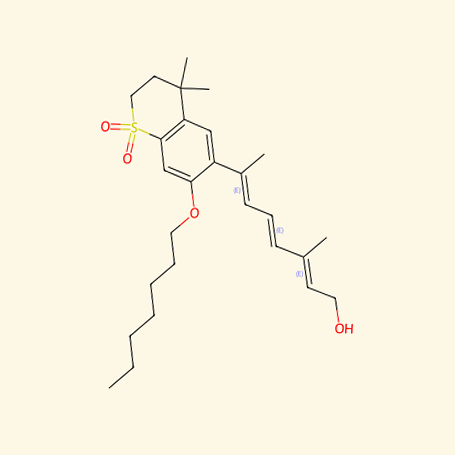 CCCCCCCOc1cc2c(cc1/C(C)=C/C=C/C(C)=C/CO)C(C)(C)CCS2(=O)=O